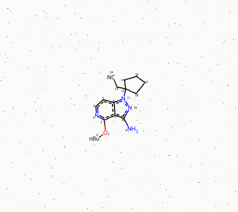 CCCCOc1nccc2c1c(N)nn2C1(CC#N)CCCC1